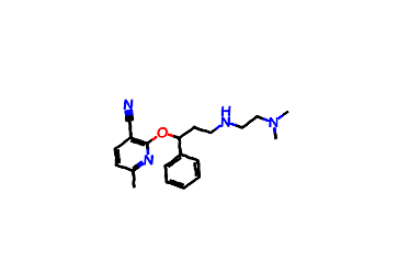 Cc1ccc(C#N)c(OC(CCNCCN(C)C)c2ccccc2)n1